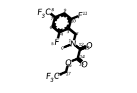 CN(Cc1c(F)cc(C(F)(F)F)cc1F)C(=O)C(=O)OCC(F)(F)F